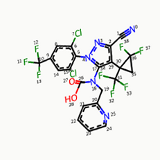 N#Cc1nn(-c2c(Cl)cc(C(F)(F)F)cc2Cl)c(N(Cc2ccccn2)C(=O)O)c1C1(C(F)(F)F)CC1(F)F